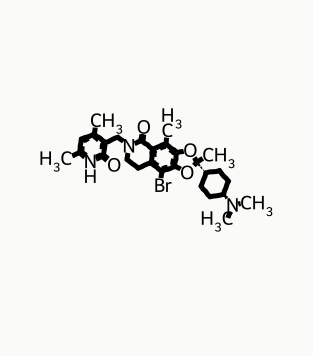 Cc1cc(C)c(CN2CCc3c(Br)c4c(c(C)c3C2=O)OC(C)([C@H]2CC[C@H](N(C)C)CC2)O4)c(=O)[nH]1